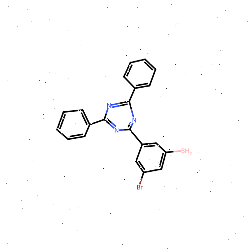 Bc1cc(Br)cc(-c2nc(-c3ccccc3)nc(-c3ccccc3)n2)c1